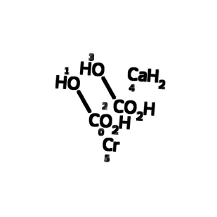 O=C(O)O.O=C(O)O.[CaH2].[Cr]